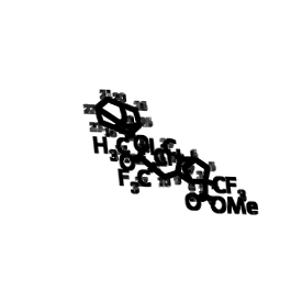 COC(=O)C1(C(F)(F)F)CC2CC1C(CC(C)(C(=O)OC1(C)C3CC4CC(C3)CC1C4)C(F)(F)F)C2C